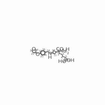 N[C@](CCCCB(O)O)(C(=O)O)C1CC(NCc2ccc(OC3CCOC3)cc2)C1